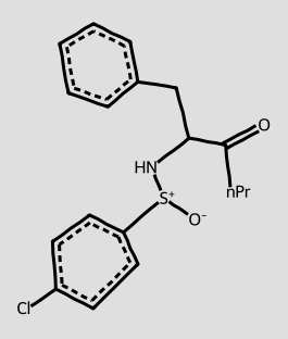 CCCC(=O)C(Cc1ccccc1)N[S+]([O-])c1ccc(Cl)cc1